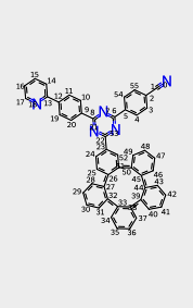 N#Cc1ccc(-c2nc(-c3ccc(-c4ccccn4)cc3)nc(-c3ccc4c5ccccc5c5ccccc5c5ccccc5c5ccccc5c4c3)n2)cc1